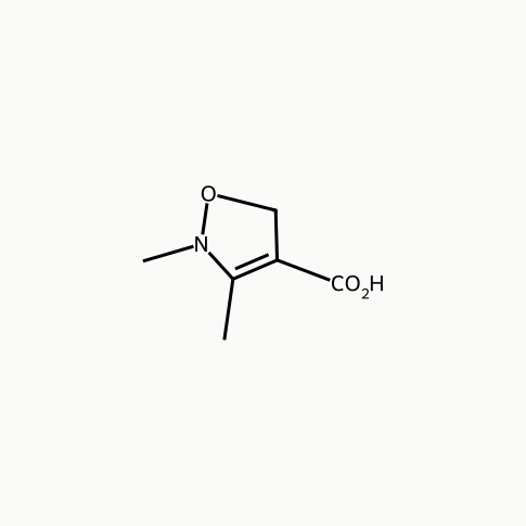 CC1=C(C(=O)O)CON1C